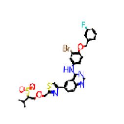 CC(C)C(COCc1nc(-c2ccc3ncnc(Nc4ccc(OCc5cccc(F)c5)c(Br)c4)c3c2)cs1)=S(=O)=O